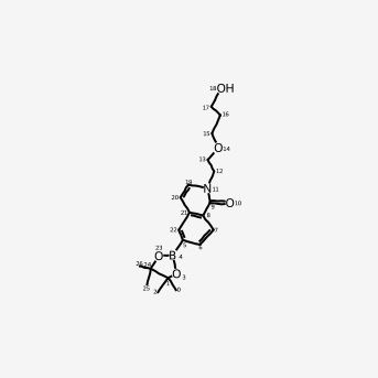 CC1(C)OB(c2ccc3c(=O)n(CCOCCCO)ccc3c2)OC1(C)C